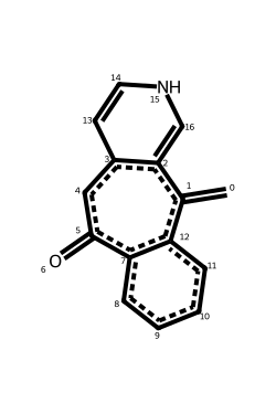 C=c1c2c(cc(=O)c3ccccc13)C=CNC=2